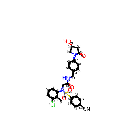 Cc1c(Cl)cccc1N(CC(=O)NCc1ccc(N2CC(O)CC2=O)cc1)S(=O)(=O)c1ccc(C#N)cc1